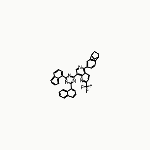 FC(F)(F)c1ccc2c(-c3ccc4c(c3)C3CCC4C3)ncc(-c3nc(-c4cccc5ccccc45)nc(-c4cccc5ccccc45)n3)c2n1